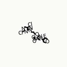 O=[N+]([O-])c1cn([C@H]2CCOC[C@@H]2F)nc1OCCCn1nc(Cl)c2cnc(Cl)nc21